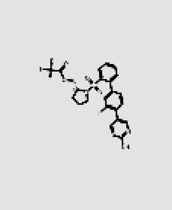 Nc1ncc(-c2ccc(-c3ccccc3S(=O)(=O)N3CCC[C@@H]3COC(=O)C(F)(F)F)cc2F)cn1